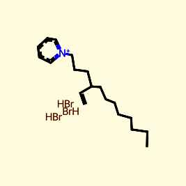 Br.Br.Br.C=CC(CCCCCCCC)CCC[n+]1ccccc1